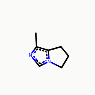 Cc1ncn2c1CCC2